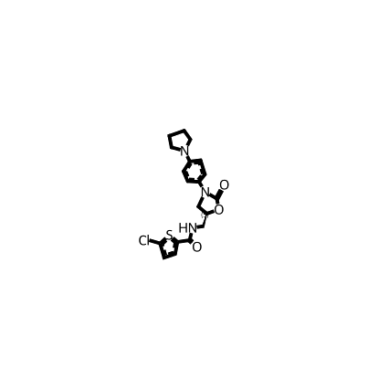 O=C(NC[C@H]1CN(c2ccc(N3CCCC3)cc2)C(=O)O1)c1ccc(Cl)s1